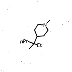 CCCC(C)(CC)C1CCN(C)CC1